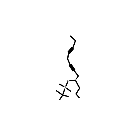 CCC#CCC#CC[C@@H](CCC)O[Si](C)(C)C(C)(C)C